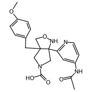 COc1ccc(CC23CONC2(c2cc(NC(C)=O)ccn2)CN(C(=O)O)C3)cc1